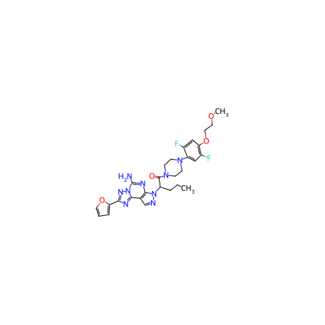 CCCC(C(=O)N1CCN(c2cc(F)c(OCCOC)cc2F)CC1)n1ncc2c1nc(N)n1nc(-c3ccco3)nc21